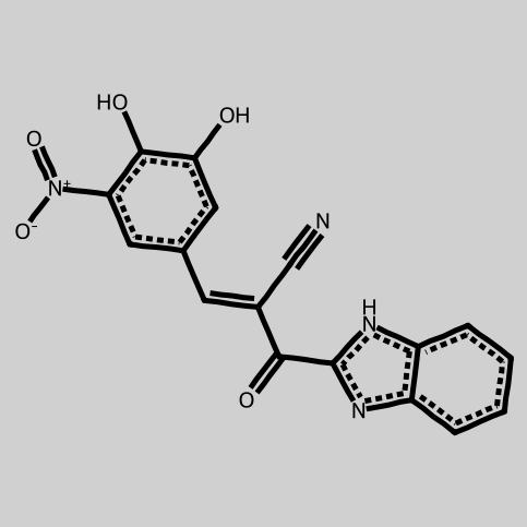 N#CC(=Cc1cc(O)c(O)c([N+](=O)[O-])c1)C(=O)c1nc2ccccc2[nH]1